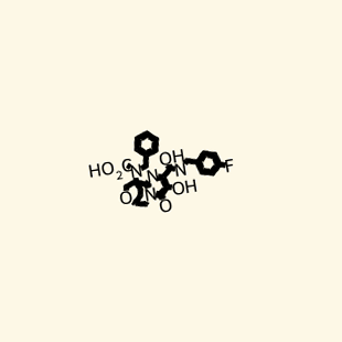 O=C(NCc1ccc(F)cc1)c1nc2n(c(=O)c1O)CC1CCC2(N(Cc2ccccc2)C(=O)O)CO1